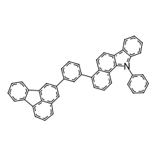 c1ccc(-n2c3ccccc3c3ccc4c(-c5cccc(-c6cc7c8c(cccc8c6)-c6ccccc6-7)c5)cccc4c32)cc1